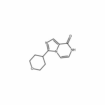 O=c1[nH]ccn2c(C3CCOCC3)ncc12